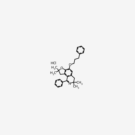 CC1(C)Cc2cc(OCCCc3ccccc3)c3c(c2C(c2ccccc2)=N1)CC(C)(C)O3.Cl